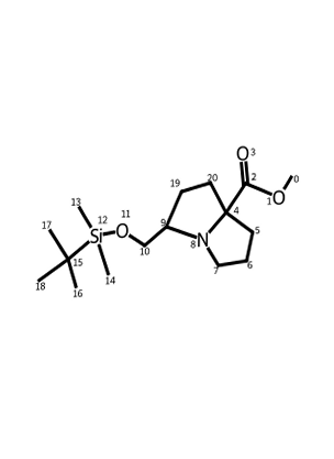 COC(=O)C12CCCN1C(CO[Si](C)(C)C(C)(C)C)CC2